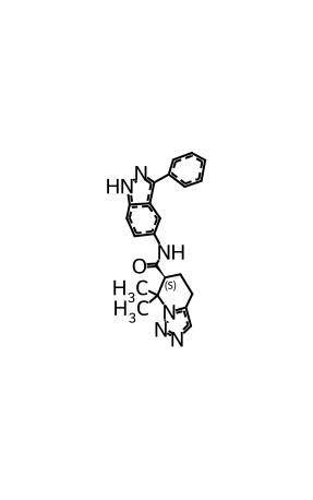 CC1(C)[C@@H](C(=O)Nc2ccc3[nH]nc(-c4ccccc4)c3c2)CCc2cnnn21